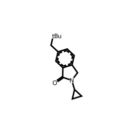 CC(C)(C)Cc1ccc2c(c1)C(=O)N(C1CC1)C2